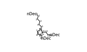 CCCCCCCCCCCCCCCn1cc[n+](CCCCCCCCCC)c1CCCCCCCCCCCC